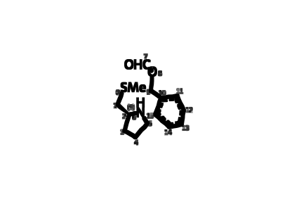 CSC[C@@H]1CCCN1.O=COCc1ccccc1